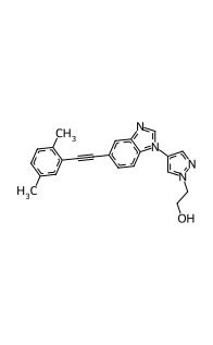 Cc1ccc(C)c(C#Cc2ccc3c(c2)ncn3-c2cnn(CCO)c2)c1